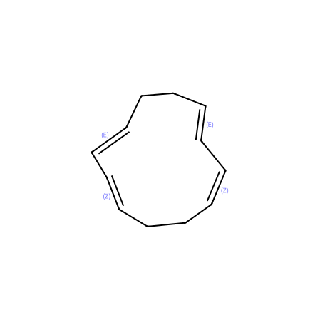 C1=C\CC/C=C\C=C\CC/C=C/1